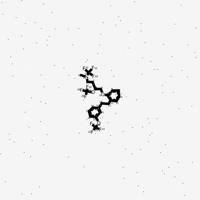 CN(CCC(COc1ccccc1CCc1cccc(OC(F)(F)F)c1)OC(F)(F)F)C(F)(F)F